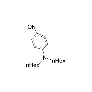 CCCCCCN(CCCCCC)c1ccc(N=O)cc1